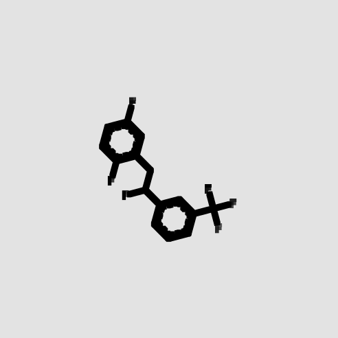 F[C](Cc1cc(F)ccc1F)c1cccc(C(F)(F)F)c1